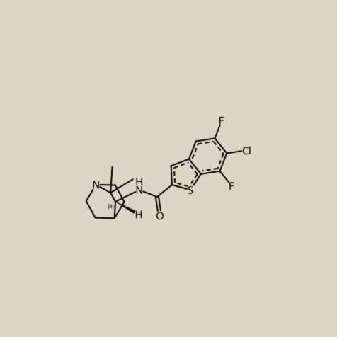 CC1(C)[C@H](NC(=O)c2cc3cc(F)c(Cl)c(F)c3s2)C2CCN1CC2